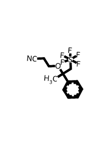 CC(CS(F)(F)(F)(F)F)(OCCC#N)c1ccccc1